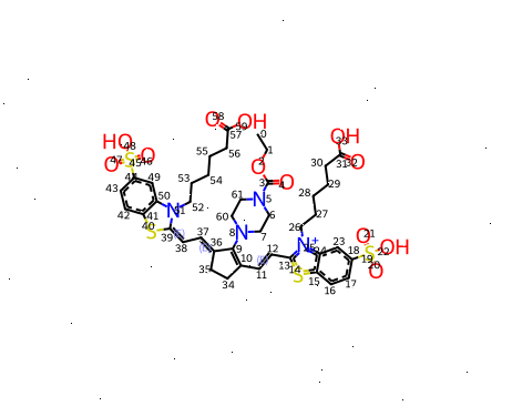 CCOC(=O)N1CCN(C2=C(/C=C/c3sc4ccc(S(=O)(=O)O)cc4[n+]3CCCCCC(=O)O)CC/C2=C\C=C2\Sc3ccc(S(=O)(=O)O)cc3N2CCCCCC(=O)O)CC1